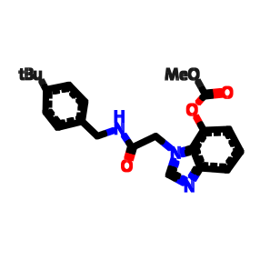 COC(=O)Oc1cccc2ncn(CC(=O)NCc3ccc(C(C)(C)C)cc3)c12